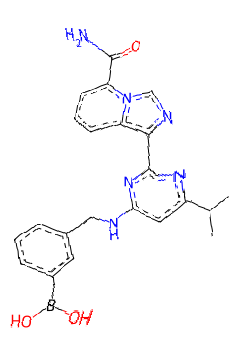 CC(C)c1cc(NCc2cccc(B(O)O)c2)nc(-c2ncn3c(C(N)=O)cccc23)n1